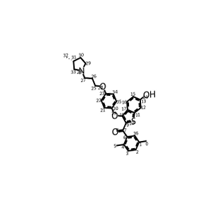 Cc1ccc(C)c(C(=O)c2sc3cc(O)ccc3c2Oc2ccc(OCCCN3CC[C@@H](C)C3)cc2)c1